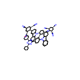 N#Cc1cc(C#N)c(-c2ccc3c(c2)c2ccccc2n3-c2ccc(C#N)cc2-c2cc(-c3nc(-c4ccccc4)nc(-c4ccccc4)n3)ccc2-n2c3ccccc3c3cc(-c4c(C#N)cc(C#N)cc4C#N)ccc32)c(C#N)c1